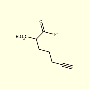 C#CCCCC(C(=O)OCC)C(=O)C(C)C